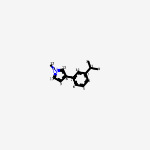 CC(C)c1cccc(-c2ccn(C)c2)c1